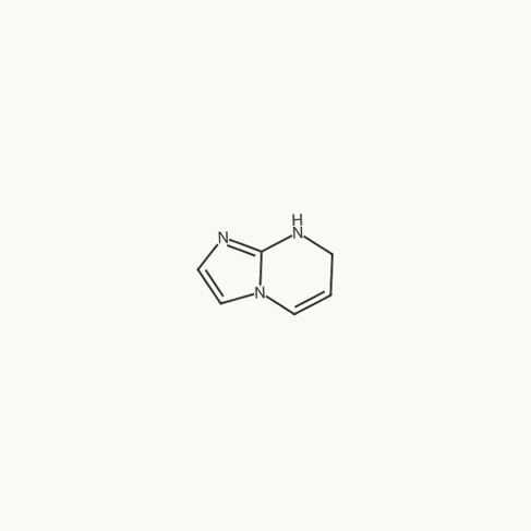 C1=Cn2ccnc2NC1